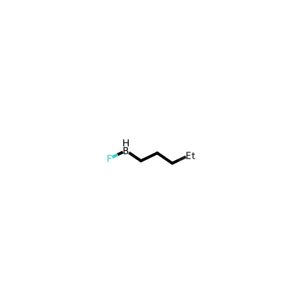 CCCCCBF